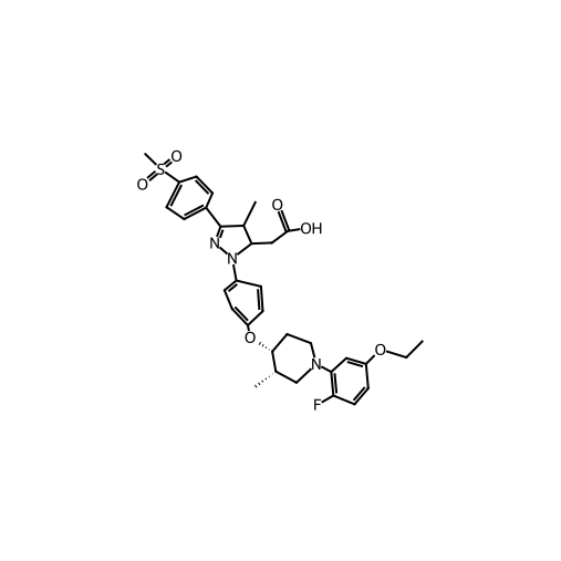 CCOc1ccc(F)c(N2CC[C@@H](Oc3ccc(N4N=C(c5ccc(S(C)(=O)=O)cc5)C(C)C4CC(=O)O)cc3)[C@@H](C)C2)c1